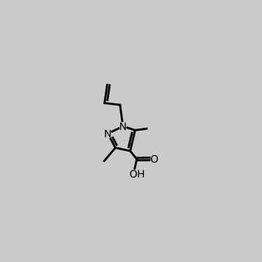 C=CCn1nc(C)c(C(=O)O)c1C